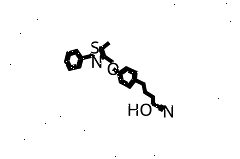 Cc1sc(-c2ccccc2)nc1COc1ccc(CCCC(O)C#N)cc1